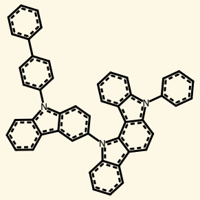 c1ccc(-c2ccc(-n3c4ccccc4c4cc(-n5c6ccccc6c6ccc7c(c8ccccc8n7-c7ccccc7)c65)ccc43)cc2)cc1